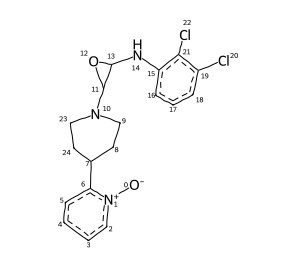 [O-][n+]1ccccc1C1CCN(C2OC2Nc2cccc(Cl)c2Cl)CC1